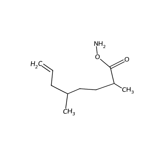 C=CCC(C)CCC(C)C(=O)ON